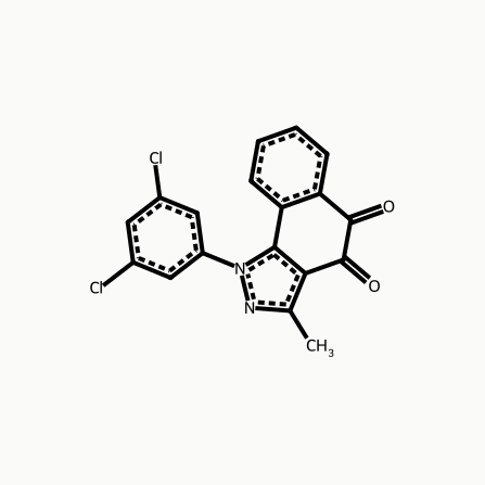 Cc1nn(-c2cc(Cl)cc(Cl)c2)c2c1C(=O)C(=O)c1ccccc1-2